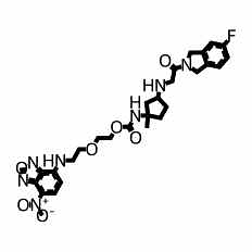 CC1(NC(=O)OCCOCCNc2ccc([N+](=O)[O-])c3nonc23)CCC(NCC(=O)N2Cc3ccc(F)cc3C2)C1